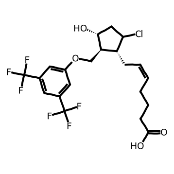 O=C(O)CCC/C=C\C[C@H]1C(Cl)C[C@@H](O)[C@@H]1COc1cc(C(F)(F)F)cc(C(F)(F)F)c1